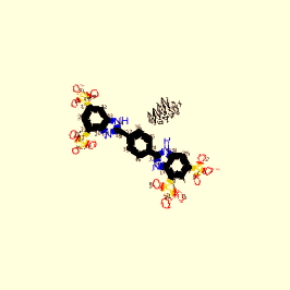 O=S(=O)([O-])c1cc(S(=O)(=O)[O-])c2nc(-c3ccc(-c4nc5c(S(=O)(=O)[O-])cc(S(=O)(=O)[O-])cc5[nH]4)cc3)[nH]c2c1.[Na+].[Na+].[Na+].[Na+]